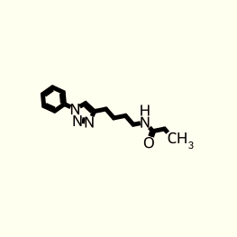 CCC(=O)NCCCCc1cn(-c2ccccc2)nn1